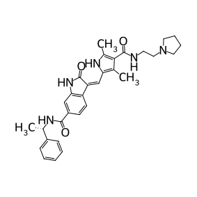 Cc1[nH]c(C=C2C(=O)Nc3cc(C(=O)N[C@@H](C)c4ccccc4)ccc32)c(C)c1C(=O)NCCN1CCCC1